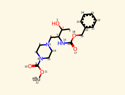 CC(O)C(CN1CCN(C(=O)OC(C)(C)C)CC1)NC(=O)OCc1ccccc1